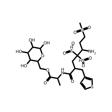 CC(NC(=O)C(Cc1ccsc1)CC(C(N)CCS(C)(=O)=O)([SH](=O)=O)[SH](=O)=O)C(=O)OCC1OC(O)C(O)C(O)C1O